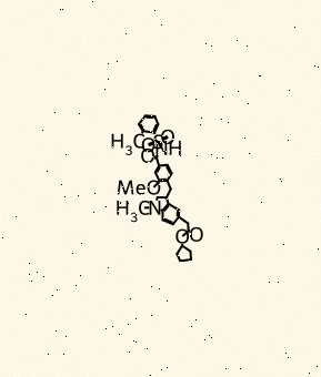 COc1cc(C(=O)NS(=O)(=O)c2ccccc2C)ccc1CC1CN(C)c2ccc(CC(=O)OC3CCCC3)cc21